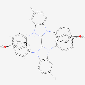 CC(C)c1ccc2c(c1)N(c1ccc(C(C)(C)C)cc1)C(C1N(c3ccc(C(C)(C)C)cc3)c3ccc(C(C)C)cc3N1c1ccc(C(C)(C)C)cc1)N2c1ccc(C(C)(C)C)cc1